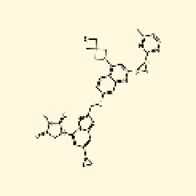 Cc1ccnc([C@H]2C[C@@H]2c2cc(N3CC4(COC4)C3)c3ccc(OCc4cc5cc(C6CC6)cc(N6CC(=O)N(C)C6=O)n5n4)cc3n2)n1